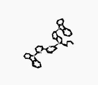 C/C=C\C=C/c1cc2c(-n3c4ccccc4c4ccccc43)cccc2n1-c1cccc(-c2cccc(-n3c4ccccc4c4ccccc43)n2)n1